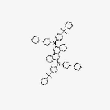 CC(C)(c1ccccc1)c1ccc(N(c2ccc(-c3ccccc3)cc2)c2cc3c4ccccc4c(N(c4ccc(-c5ccccc5)cc4)c4ccc(C(C)(C)c5ccccc5)cc4)cc3c3ccccc23)cc1